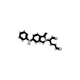 C=C1c2ccc(Nc3ccccc3)cc2CN1C(C=O)CCC=O